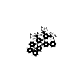 CC(C)(C)c1cc(N2c3cc(-c4ccccc4)ccc3B3c4cccc5c4N(c4ccccc4[Si]5(c4ccccc4)c4ccccc4)c4cc(C(C)(C)C)cc2c43)cc(C(C)(C)C)c1